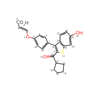 O=C(O)/C=C/Oc1ccc(-c2c(C(=O)C3CCCC3)sc3cc(O)ccc23)cc1